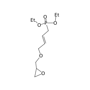 CCOP(=O)(CC=CCOCC1CO1)OCC